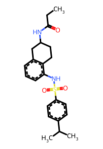 CCC(=O)NC1CCc2c(cccc2NS(=O)(=O)c2ccc(C(C)C)cc2)C1